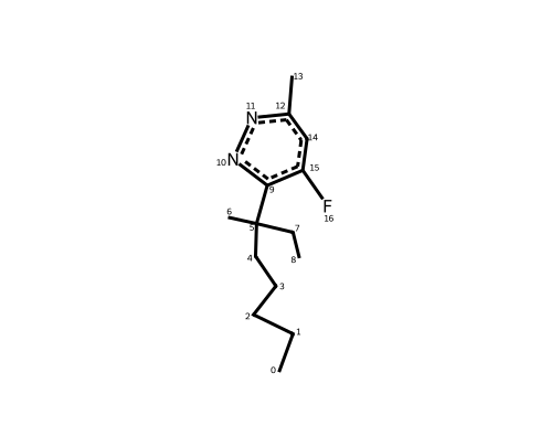 CCCCCC(C)(CC)c1nnc(C)cc1F